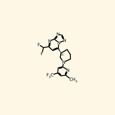 Cc1cc(C(F)(F)F)cc(N2CCC[C@H](c3cc(C(F)F)nc4ncnn34)C2)n1